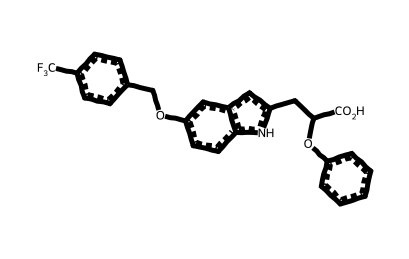 O=C(O)C(Cc1cc2cc(OCc3ccc(C(F)(F)F)cc3)ccc2[nH]1)Oc1ccccc1